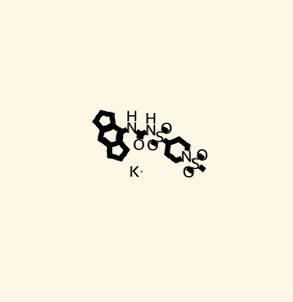 CS(=O)(=O)N1CCC(S(=O)(=O)NC(=O)Nc2c3c(cc4c2CCC4)CCC3)CC1.[K]